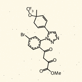 COC(=O)C(=O)CC(=O)c1ccc(Br)cc1-n1nncc1C1=CCC(C)(OC(F)(F)F)C=C1